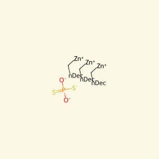 CCCCCCCCCC[CH2][Zn+].CCCCCCCCCC[CH2][Zn+].CCCCCCCCCC[CH2][Zn+].[O-]P([O-])(=S)[S-]